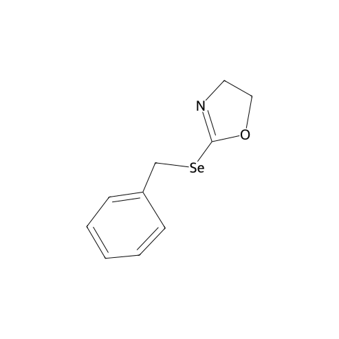 c1ccc(C[Se]C2=NCCO2)cc1